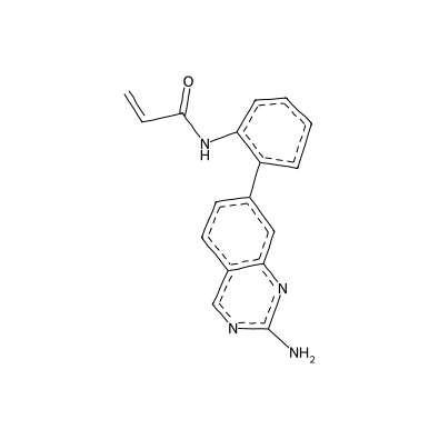 C=CC(=O)Nc1ccccc1-c1ccc2cnc(N)nc2c1